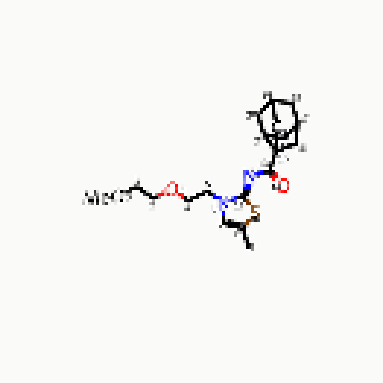 COCCOCCn1cc(C)sc1=NC(=O)C12CC3CC(CC1C3)C2